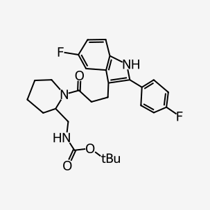 CC(C)(C)OC(=O)NCC1CCCCN1C(=O)CCc1c(-c2ccc(F)cc2)[nH]c2ccc(F)cc12